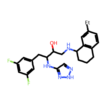 CCc1ccc2c(c1)C(NCC(O)C(Cc1cc(F)cc(F)c1)Nc1cn[nH]n1)CCC2